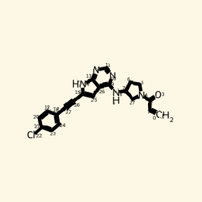 C=CC(=O)N1CCC(Nc2ncnc3[nH]c(C#Cc4ccc(Cl)cc4)cc23)C1